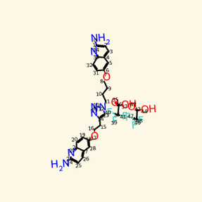 Nc1ccc2cc(OCCCCn3cc(CCOc4ccc5nc(N)ccc5c4)nn3)ccc2n1.O=C(O)C(F)(F)F.O=C(O)C(F)(F)F